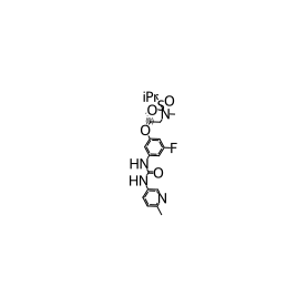 Cc1ccc(NC(=O)Nc2cc(F)cc(O[C@H](C)CN(C)S(=O)(=O)C(C)C)c2)cn1